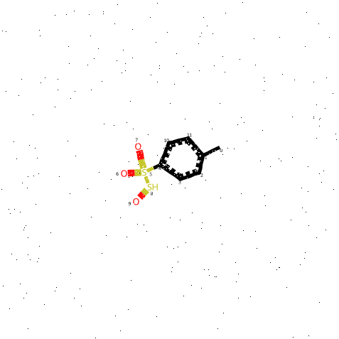 Cc1ccc(S(=O)(=O)[SH]=O)cc1